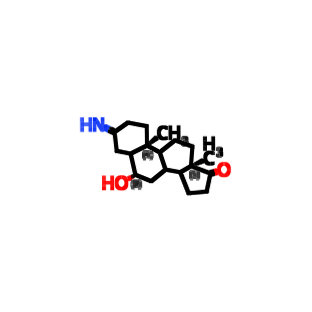 C[C@]12CCC(=N)CC1[C@H](O)CC1C2CC[C@]2(C)C(=O)CCC12